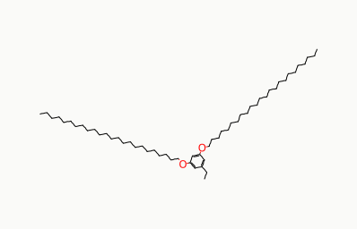 CCCCCCCCCCCCCCCCCCCCCCCCOc1cc(CC)cc(OCCCCCCCCCCCCCCCCCCCCCCCC)c1